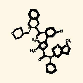 Cc1c(C(=O)N(c2ccccc2)c2cnc3c(ccn3C)c2)cc(-c2cc(Cl)ccc2C(=O)N2Cc3ccccc3C[C@H]2CN2CCOCC2)n1C